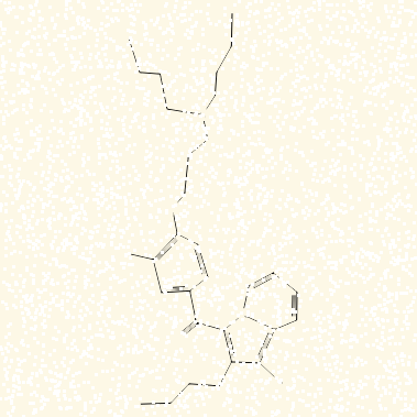 CCCCc1c(Br)c2ccccn2c1C(=O)c1ccc(OCCCN(CCCC)CCCC)c(Cl)c1